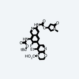 CCc1c(-c2cc3cc(NC(=O)OC4CC(=O)N(C)C4)ncc3c(NC(=O)OC(C)(C)C)c2F)cnc2c1N(C(=O)O)CCO2